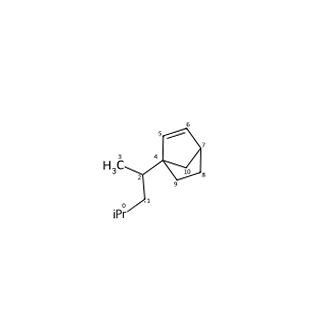 CC(C)[CH]C(C)C12C=CC(CC1)C2